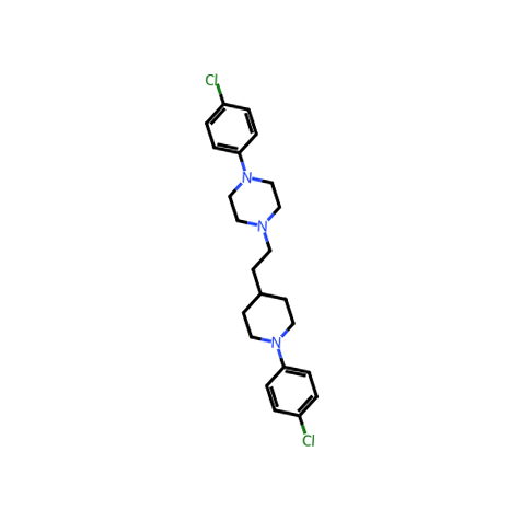 Clc1ccc(N2CCC(CCN3CCN(c4ccc(Cl)cc4)CC3)CC2)cc1